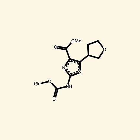 COC(=O)c1nc(NC(=O)OC(C)(C)C)sc1C1CCOC1